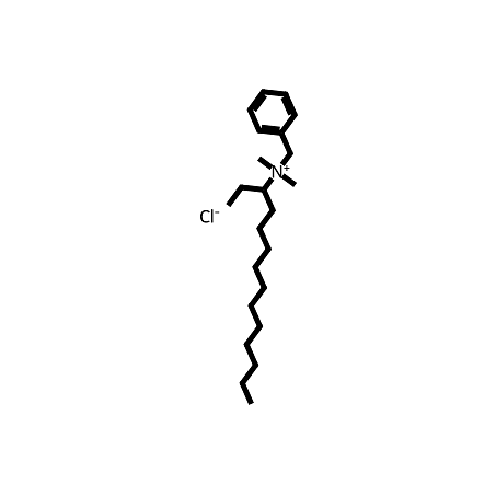 CCCCCCCCCCCC(CC)[N+](C)(C)Cc1ccccc1.[Cl-]